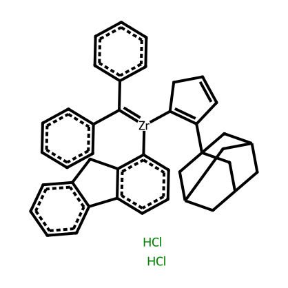 C1=CC(C23CC4CC(CC(C4)C2)C3)=[C]([Zr](=[C](c2ccccc2)c2ccccc2)[c]2cccc3c2Cc2ccccc2-3)C1.Cl.Cl